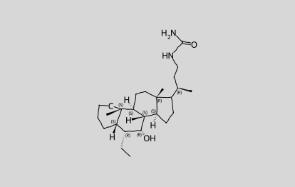 CC[C@H]1[C@@H](O)[C@@H]2[C@H](CC[C@]3(C)C([C@H](C)CCNC(N)=O)CC[C@@H]23)[C@@]2(C)CCCC[C@@H]12